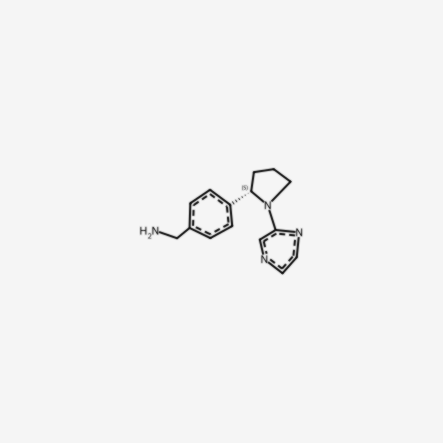 NCc1ccc([C@@H]2CCCN2c2cnccn2)cc1